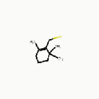 CC1=C(CS)C(C)(C)CCC1